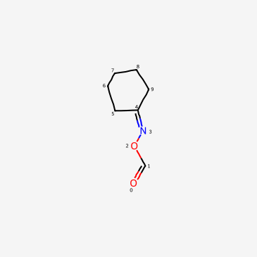 O=CON=C1CCCCC1